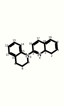 C1=CCC2N=C(N3CCCc4ccccc43)C=CC2=C1